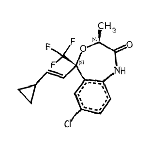 C[C@@H]1O[C@](C=CC2CC2)(C(F)(F)F)c2cc(Cl)ccc2NC1=O